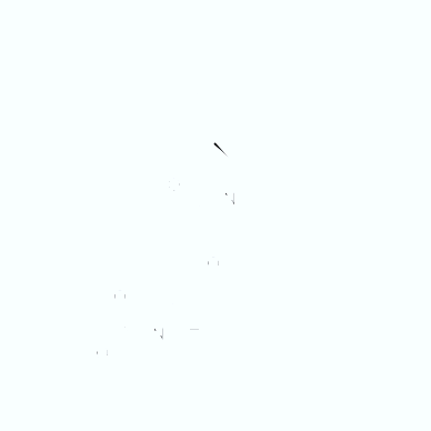 CN1C(=O)O[C@H]2C[C@H](C(=O)N3CCc4ccccc4[C@@H]3c3ccc(F)cc3)OC[C@H]21